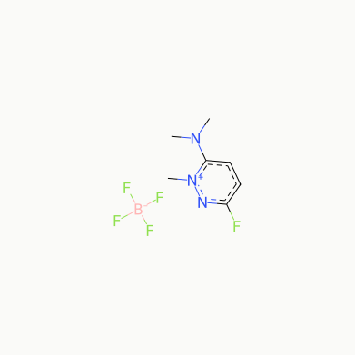 CN(C)c1ccc(F)n[n+]1C.F[B-](F)(F)F